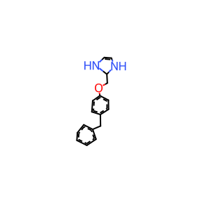 C1=CNC(COc2ccc(Cc3ccccc3)cc2)N1